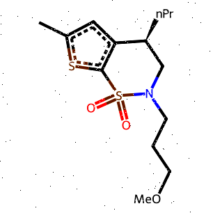 CCC[C@H]1CN(CCCOC)S(=O)(=O)c2sc(C)cc21